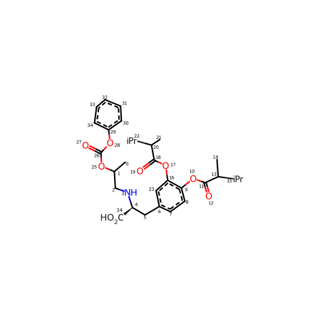 CC(CN[C@@H](Cc1ccc(OC(=O)C(C)C(C)C)c(OC(=O)C(C)C(C)C)c1)C(=O)O)OC(=O)Oc1ccccc1